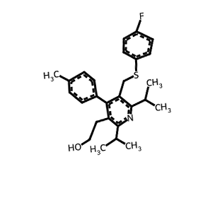 Cc1ccc(-c2c(CCO)c(C(C)C)nc(C(C)C)c2CSc2ccc(F)cc2)cc1